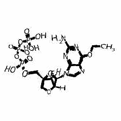 CCOc1nc(N)nc2c1ncn2[C@@H]1O[C@@]2(COP(=O)(O)OP(=O)(O)OP(=O)(O)O)CO[C@@H]1[C@@H]2F